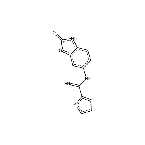 N=C(Nc1ccc2[nH]c(=O)oc2c1)c1cccs1